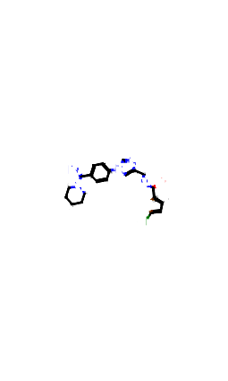 N=C(c1ccc(-n2cnc(CNC(=O)c3ccc(Cl)s3)c2)cc1)N1CCCCC1